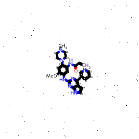 C=CC(=O)Nc1cc(Nc2nc(-c3cccnc3)c3cc[nH]c3n2)c(OC)cc1N1CCN(C)CC1